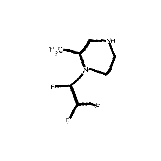 CC1CNCCN1C(F)C(F)F